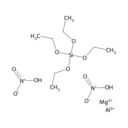 CCO[Si](OCC)(OCC)OCC.O=[N+]([O-])O.O=[N+]([O-])O.[Al+3].[Mg+2]